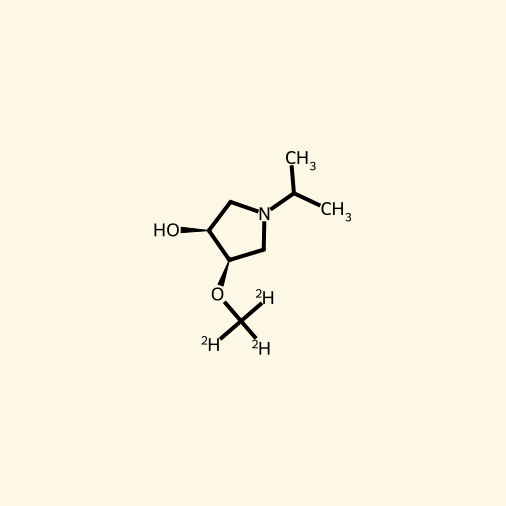 [2H]C([2H])([2H])O[C@@H]1CN(C(C)C)C[C@@H]1O